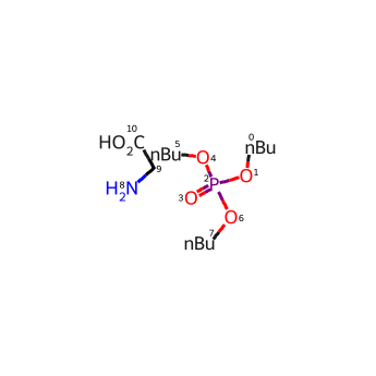 CCCCOP(=O)(OCCCC)OCCCC.NCC(=O)O